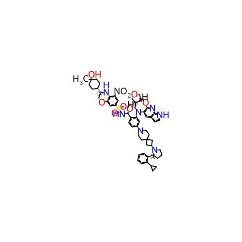 CC1(O)CCC([C@H]2COc3cc(S(=O)(=O)NC(=O)c4ccc(N5CCC6(CC5)CC(N5CCC[C@H]5c5ccccc5C5CC5)C6)cc4N4C[C@H]5COC[C@H]5Oc5nc6[nH]ccc6cc54)cc([N+](=O)[O-])c3N2)CC1